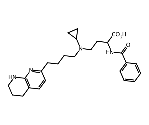 O=C(NC(CCN(CCCCc1ccc2c(n1)NCCC2)C1CC1)C(=O)O)c1ccccc1